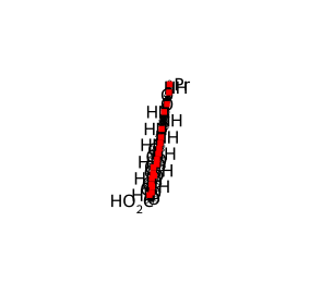 CCCNCCOCCOCCNCCNCCNCCNCCNCC(=O)NC(=O)C(=O)NC(=O)C(=O)NC(=O)C(=O)NC(=O)C(=O)NC(=O)C(=O)NC(=O)C(=O)O